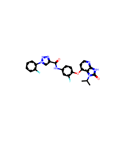 CC(C)n1c(=O)[nH]c2nccc(Oc3ccc(NC(=O)c4cn(-c5ccccc5F)nn4)cc3F)c21